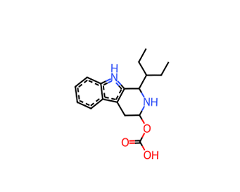 CCC(CC)C1NC(OC(=O)O)Cc2c1[nH]c1ccccc21